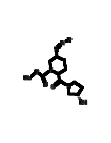 CC(C)(C)OC(=O)N1CC(N=[N+]=[N-])CC[C@H]1C(=O)N1CC[C@H](O)C1